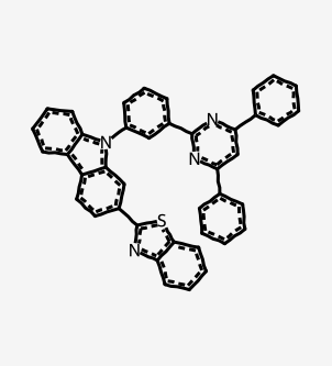 c1ccc(-c2cc(-c3ccccc3)nc(-c3cccc(-n4c5ccccc5c5ccc(-c6nc7ccccc7s6)cc54)c3)n2)cc1